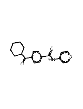 O=C(Nc1ccncc1)c1ccc(C(=O)C2CCCCC2)cc1